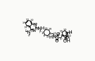 CN(C)c1nc(NC[C@H]2CC[C@H](CNS(=O)(=O)C[C@]34CC[C@H](CC3O)C4(C)C)CC2)nc2ccccc12